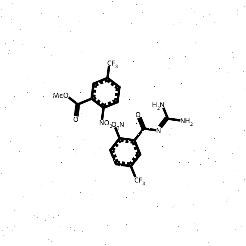 COC(=O)c1cc(C(F)(F)F)ccc1[N+](=O)[O-].NC(N)=NC(=O)c1cc(C(F)(F)F)ccc1[N+](=O)[O-]